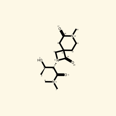 C[C@@H](O)[C@@H](C(=O)N(C)C)N1CC2(CCN(C)C(=O)C2)C1=O